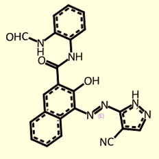 N#Cc1cn[nH]c1/N=N/c1c(O)c(C(=O)Nc2ccccc2NC=O)cc2ccccc12